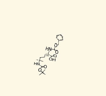 CC(C)(CCC[C@H](NC(=O)OCc1ccccc1)C(=O)O)NC(=O)OC(C)(C)C